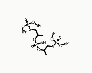 CC(C)OP(=S)(OC(C)C)SCC(C)OP(=S)(S)OC(C)CSP(=S)(OC(C)C)OC(C)C